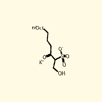 CCCCCCCCCCCC(=O)C(CO)S(=O)(=O)[O-].[K+]